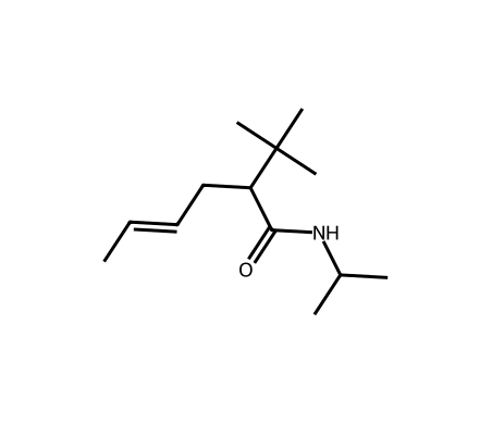 C/C=C/CC(C(=O)NC(C)C)C(C)(C)C